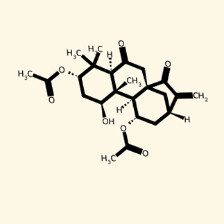 C=C1C(=O)[C@@]23CC(=O)[C@@H]4C(C)(C)[C@@H](OC(C)=O)C[C@H](O)[C@@]4(C)[C@@H]2[C@@H](OC(C)=O)C[C@@H]1C3